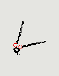 [CH2]c1ccc(OCCCCCCCCCCCC)c(OCCCCCCCCCCCC)c1